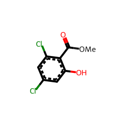 COC(=O)c1c(O)cc(Cl)cc1Cl